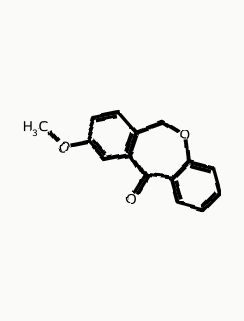 COc1ccc2c(c1)C(=O)c1ccccc1OC2